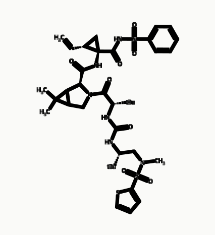 C=C[C@@H]1C[C@]1(NC(=O)[C@@H]1C2C(CN1C(=O)[C@@H](NC(=O)N[C@H](CN(C)S(=O)(=O)c1cccs1)C(C)(C)C)C(C)(C)C)C2(C)C)C(=O)NS(=O)(=O)c1ccccc1